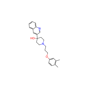 Cc1ccc(OCCCN2CCC(O)(c3cnc4ccccc4c3)CC2)cc1C